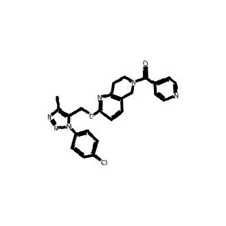 Cc1nnn(-c2ccc(Cl)cc2)c1COc1ccc2c(n1)CCN(C(=O)c1ccncc1)C2